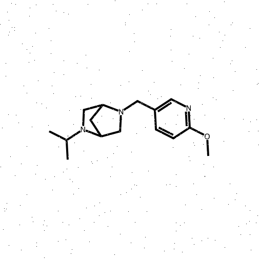 COc1ccc(CN2CC3CC2CN3C(C)C)cn1